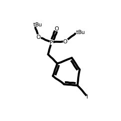 CC(C)(C)OP(=O)(Cc1ccc(I)cc1)OC(C)(C)C